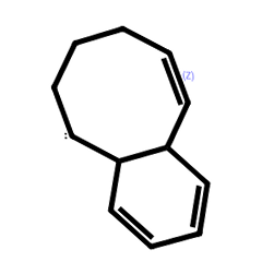 [C]1CCC/C=C\C2C=CC=CC12